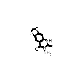 Nn1c(=S)[nH]c2cc3c(cc2c1=O)OCO3